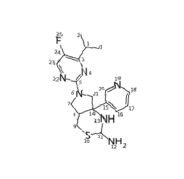 CC(C)c1nc(N2CC3CSC(N)NC3(c3cccnc3)C2)ncc1F